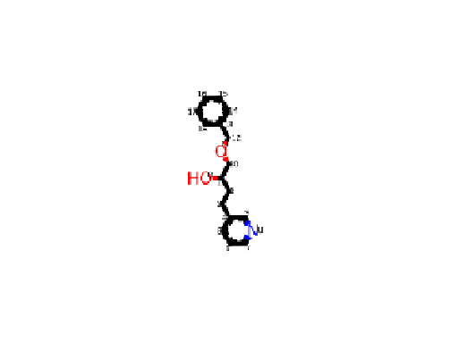 OC(CCc1cccnc1)COCc1ccccc1